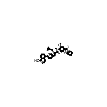 COc1cc(C(=O)N2CC3CCC2C3N)cc2nc(-c3cc4ccc(-c5cccc6c(O)nccc56)nc4n3CC3CC3)n(C)c12